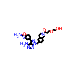 Nc1nc2cc(-c3nn(Cc4ccc5c(c4)CCN(C(=O)CCOCCO)C5)c4ncnc(N)c34)ccc2o1